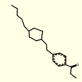 CCCCCC1CCC(CCc2ccc(C(=O)CC)cc2)CC1